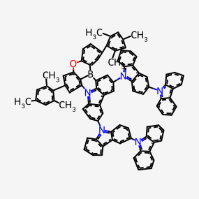 Cc1cc(C)c(-c2ccc3c(c2)B2c4c(cc(-c5c(C)cc(C)cc5C)cc4-n4c5ccc(-n6c7ccccc7c7cc(-n8c9ccccc9c9ccccc98)ccc76)cc5c5cc(-n6c7ccccc7c7cc(-n8c9ccccc9c9ccccc98)ccc76)cc2c54)O3)c(C)c1